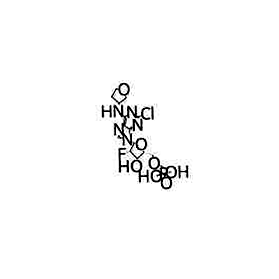 O=P(O)(O)COC[C@H]1O[C@@H](n2cnc3c(N[C@H]4CCOC4)nc(Cl)nc32)[C@@H](F)[C@@H]1O